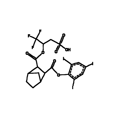 O=C(Oc1c(I)cc(I)cc1I)C1C2CCC(C2)C1C(=O)OC(CS(=O)(=O)O)C(F)(F)F